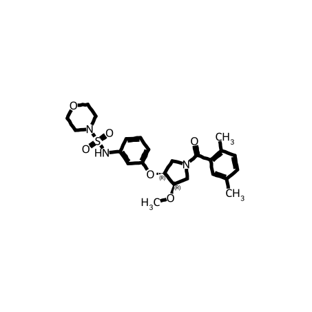 CO[C@@H]1CN(C(=O)c2cc(C)ccc2C)C[C@H]1Oc1cccc(NS(=O)(=O)N2CCOCC2)c1